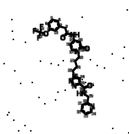 O=C(Cc1cccc(OC(F)(F)F)c1)Nc1ccn(CCCCn2cc(C(=O)NCc3ccccn3)nn2)c(=O)c1